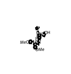 COc1ccc(CN(Cc2ccc(OC)cc2)c2cc(C)c(I)c(-c3ncc4c(N5CCCC(C)(O)C5)nc(OC[C@@H]5CCCN5C)nc4c3F)n2)cc1